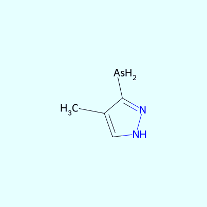 Cc1c[nH]nc1[AsH2]